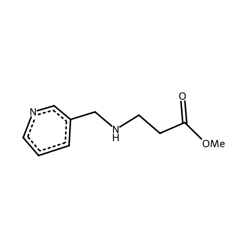 COC(=O)CCNCc1cccnc1